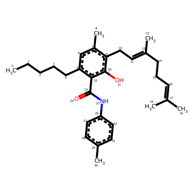 CCCCCc1cc(C)c(C/C=C(\C)CCC=C(C)C)c(O)c1C(=O)Nc1ccc(C)cc1